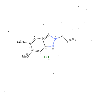 C=CCn1cc2cc(OC)c(OC)cc2n1.Cl